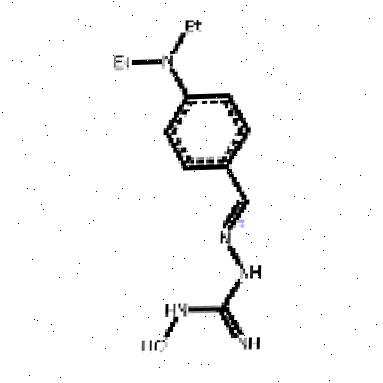 CCN(CC)c1ccc(/C=N/NC(=N)NO)cc1